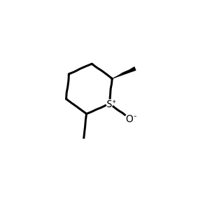 CC1CCC[C@@H](C)[S+]1[O-]